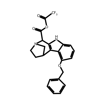 O=C(OC(=O)C(F)(F)F)C1c2[nH]c3cccc(OCc4ccccc4)c3c2C2CCN1C2